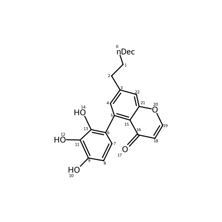 CCCCCCCCCCCCc1cc(-c2ccc(O)c(O)c2O)c2c(=O)ccoc2c1